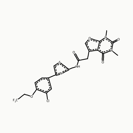 Cn1c(=O)c2c(CC(=O)Nc3nc(-c4ccc(OCC(F)(F)F)c(Cl)c4)cs3)coc2n(C)c1=O